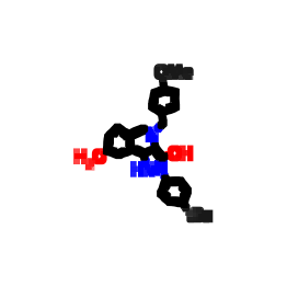 COc1ccc(CN2C=c3ccccc3=C3NN(c4ccc(C(C)(C)C)cc4)C(O)=C32)cc1.O